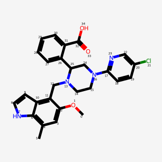 COc1cc(C)c2[nH]ccc2c1CN1CCN(c2ccc(Cl)cn2)CC1c1ccccc1C(=O)O